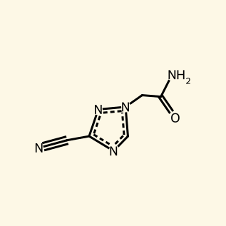 N#Cc1ncn(CC(N)=O)n1